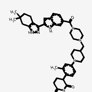 Cc1cc(N2CCC(CN3CCN(C(=O)c4ccc5cc(-c6n[nH]c7c6CCC(C)(C)C7)[nH]c5c4)CC3)CC2)ccc1C1CCC(=O)NC1=O